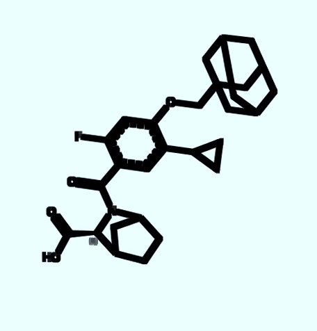 O=C(O)[C@@H]1C2CCC(C2)N1C(=O)c1cc(C2CC2)c(OCC23CC4CC(CC(C4)C2)C3)cc1F